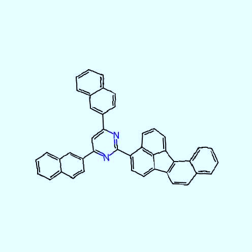 c1ccc2cc(-c3cc(-c4ccc5ccccc5c4)nc(-c4ccc5c6c(cccc46)-c4c-5ccc5ccccc45)n3)ccc2c1